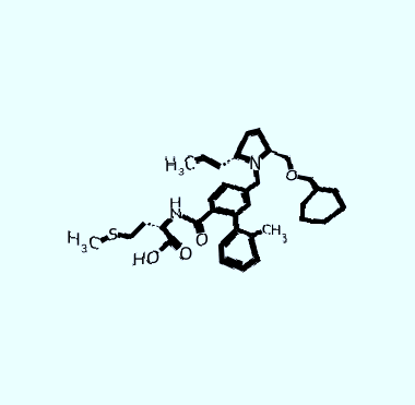 CCC[C@@H]1CC[C@@H](COCC2CCCCC2)N1Cc1ccc(C(=O)N[C@@H](CCSC)C(=O)O)c(-c2ccccc2C)c1